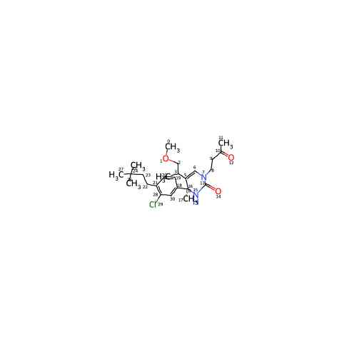 COCC(C)C1=CN(CCC(C)=O)C(=O)N[C@@]1(C)c1ccc(CCC(C)(C)C)c(Cl)c1